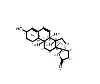 C[C@]12CCC(O)C=C1C=C[C@@H]1[C@@H]2CC[C@@]2(C)[C@H]1CC[C@@]21CCC(=O)O1